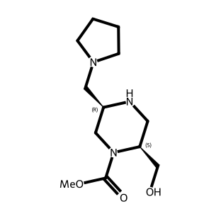 COC(=O)N1C[C@@H](CN2CCCC2)NC[C@H]1CO